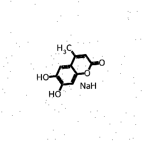 Cc1cc(=O)oc2cc(O)c(O)cc12.[NaH]